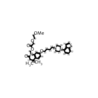 COCCOCC(=O)OCN1C(=O)CC(C)(C)c2ccc(OCCCCN3CCN(c4cccc5sccc45)CC3)cc21